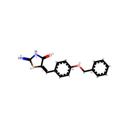 N=C1NC(=O)/C(=C\c2ccc(OCc3ccccc3)cc2)S1